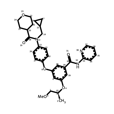 COC[C@H](C)Oc1cc(Oc2ccc(N(CC3CC3)C(=O)C3CCOCC3)cc2)cc(C(=O)Nc2ccccn2)c1